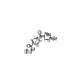 CC(C)(C)OC(=O)N1CCN(C(=O)c2ccc(Br)nn2)CC1